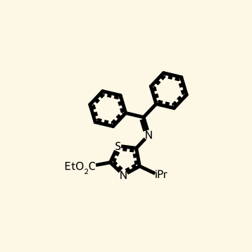 CCOC(=O)c1nc(C(C)C)c(N=C(c2ccccc2)c2ccccc2)s1